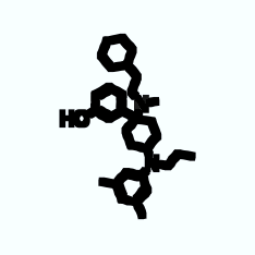 CCCN(c1cc(C)cc(C)c1)C1CCC(c2cccc(O)c2)(N(C)CCC2CCCCC2)CC1